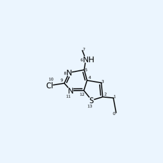 CCc1cc2c(NC)nc(Cl)nc2s1